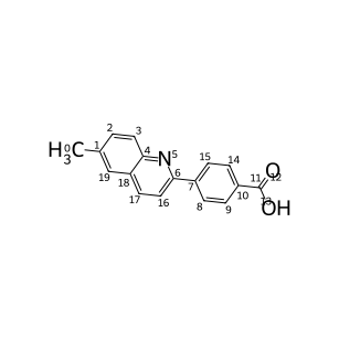 Cc1ccc2nc(-c3ccc(C(=O)O)cc3)ccc2c1